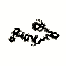 CN(CCCCC(=O)Nc1ccccc1CNC[C@H](O)c1ccc(O)c2[nH]c(=O)ccc12)C(=O)CCN1CCC(OC(=O)Nc2ccccc2-c2ccccc2)CC1